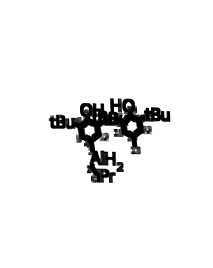 CC(C)[CH2][AlH2].Cc1cc(C(C)(C)C)c(O)c(C(C)(C)C)c1.Cc1cc(C(C)(C)C)c(O)c(C(C)(C)C)c1